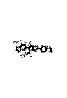 COc1cc(-c2c(C)c3nc(C4CCC5(CC4)OCCO5)sc3n2C(=O)OC(C)(C)C)cn2ncnc12